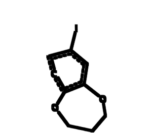 Ic1ccc2c(c1)OCCCO2